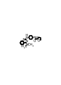 CN(C)c1nc(N[C@H]2CC[C@@H](NC(=O)C3CCCO3)CC2)nc2ccccc12